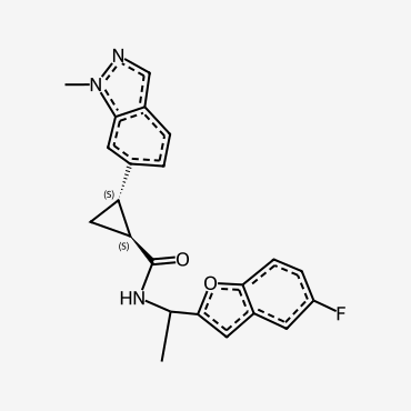 CC(NC(=O)[C@H]1C[C@@H]1c1ccc2cnn(C)c2c1)c1cc2cc(F)ccc2o1